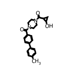 Cc1ccc(-c2ccc(C(=O)N3CCN(C(=O)C4CC4O)CC3)cc2)cc1